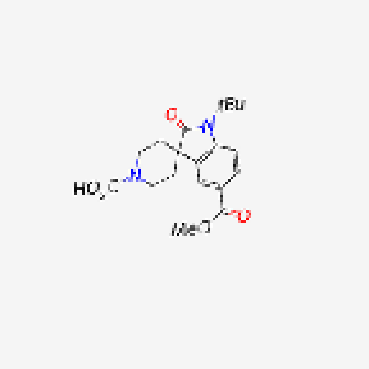 COC(=O)c1ccc2c(c1)C1(CCN(C(=O)O)CC1)C(=O)N2C(C)(C)C